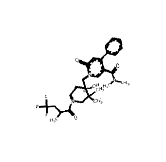 CC(CC(F)(F)F)C(=O)N1CC[C@](O)(Cn2cc(C(=O)N(C)C)c(-c3ccccc3)cc2=O)C(C)(C)C1